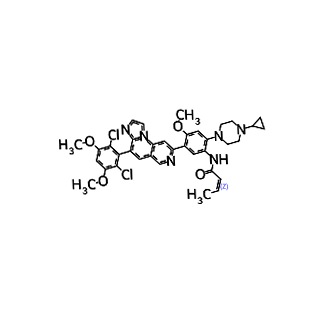 C/C=C\C(=O)Nc1cc(-c2cc3c(cn2)cc(-c2c(Cl)c(OC)cc(OC)c2Cl)c2nccn23)c(OC)cc1N1CCN(C2CC2)CC1